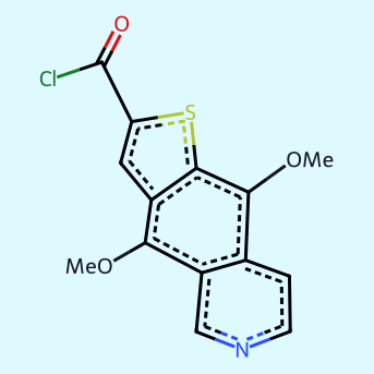 COc1c2cnccc2c(OC)c2sc(C(=O)Cl)cc12